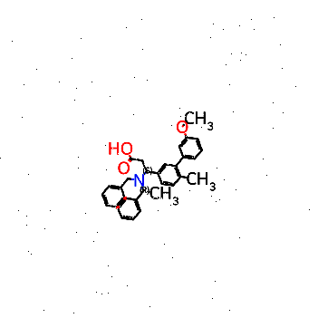 COc1cccc(-c2cc([C@H](CC(=O)O)N(Cc3ccccc3)[C@H](C)c3ccccc3)ccc2C)c1